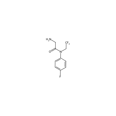 NCC(=O)N(CC(F)(F)F)c1ccc(F)cc1